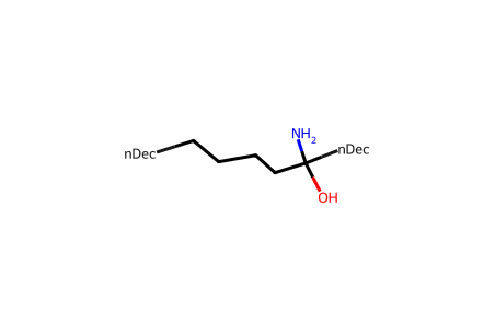 CCCCCCCCCCCCCCC(N)(O)CCCCCCCCCC